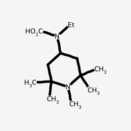 CCN(C(=O)O)C1CC(C)(C)N(C)C(C)(C)C1